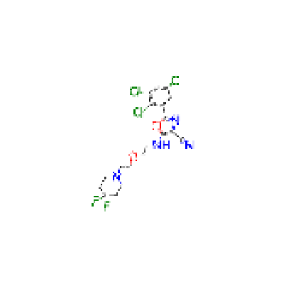 N#Cc1nc(-c2cc(Cl)cc(Cl)c2Cl)oc1NCCOCCN1CCC(F)(F)CC1